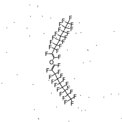 FC(OC(F)=C(F)C(F)(F)C(F)(F)C(F)(F)C(F)(F)C(F)(F)C(F)(F)C(F)(F)F)=C(F)C(F)(F)C(F)(F)C(F)(F)C(F)(F)C(F)(F)C(F)(F)C(F)(F)F